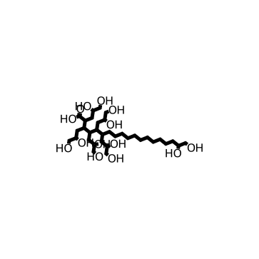 O=C(O)C(CC(O)CO)C(CC(O)CO)C(CC(O)CO)C(CC(O)CO)C(CCCCCCCCCCCC(O)CO)CC(O)CO